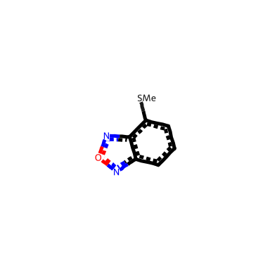 CSc1cccc2nonc12